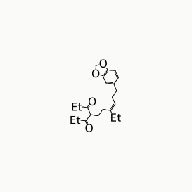 CCC(=O)C(CCC(=CCCc1ccc2c(c1)OCO2)CC)C(=O)CC